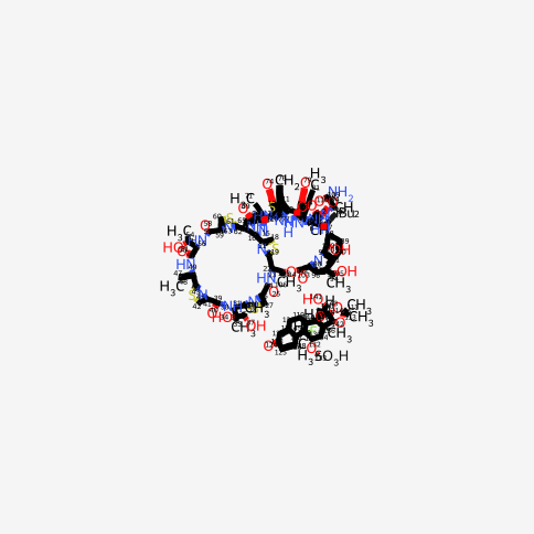 C=C(NC(=O)C(=C)NC(=O)c1csc(C2=NC3c4csc(n4)C4NC(=O)c5csc(n5)C(C(C)(O)C(C)O)NC(=O)C5CSC(=N5)/C(=C\C)NC(=O)C(C(C)O)NC(=O)c5csc(n5)C3(CC2)NC(=O)C(C)NC(=O)C(=C)NC(=O)C(C)NC(=O)C(C(C)CC)NC2C=Cc3c(C(C)O)cc(nc3C2O)C(=O)OC4C)n1)C(N)=O.CC1(C)O[C@@H]2C[C@H]3[C@@H]4CCC5=CC(=O)C=C[C@]5(C)[C@@]4(F)[C@@H](OS(=O)(=O)O)C[C@]3(C)[C@]2(C(=O)CO)O1